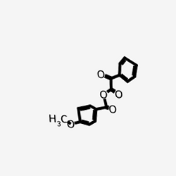 COc1ccc(C(=O)OC(=O)C(=O)c2ccccc2)cc1